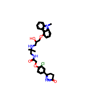 Cn1c2ccccc2c2c(OCC(O)CNC(C)(C)CNC(=O)COc3ccc(C4=NNC(=O)CC4)cc3Cl)cccc21